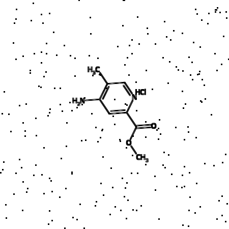 COC(=O)c1cc(N)c(C)cn1.Cl